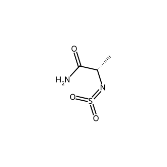 C[C@H](N=S(=O)=O)C(N)=O